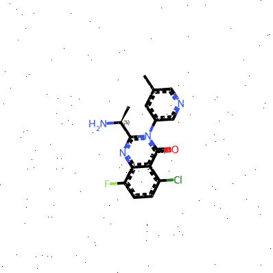 Cc1cncc(-n2c([C@H](C)N)nc3c(F)ccc(Cl)c3c2=O)c1